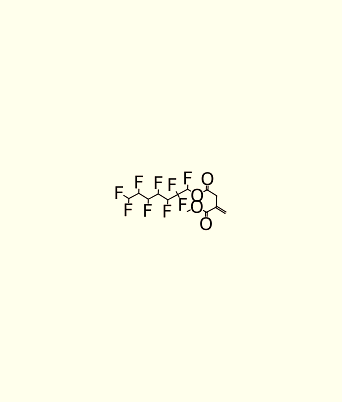 C=C(CC(=O)OC(F)C(F)(F)C(F)C(F)C(F)C(F)C(F)F)C(=O)OC